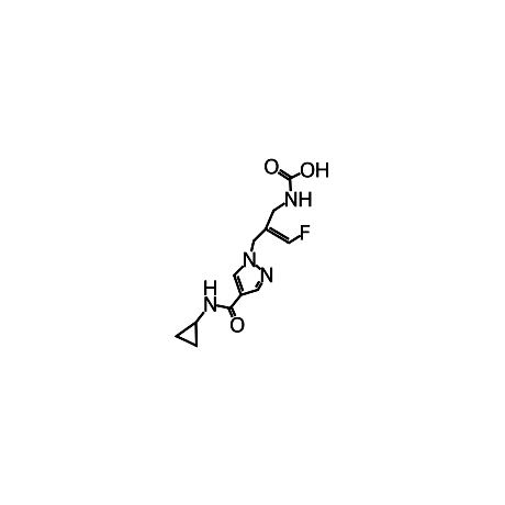 O=C(O)NCC(=CF)Cn1cc(C(=O)NC2CC2)cn1